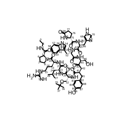 CCNC(=O)[C@@H]1CCCN1C(=O)[C@H](CCCNC(=N)N)NC(=O)[C@H](CC(C)C)NC(=O)[C@@H](COC(C)(C)C)NC(=O)[C@@H](CC(=O)[C@H](CO)NC(=O)[C@H](Cc1c[nH]c2ccccc12)NC(=O)[C@H](Cc1c[nH]cn1)NC(=O)[C@H]1CCC(=O)N1)Cc1ccc(O)cc1